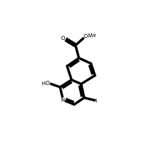 COC(=O)c1ccc2c(I)cnc(O)c2c1